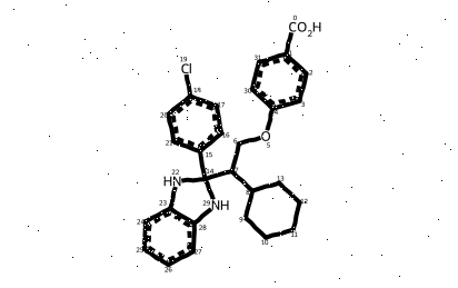 O=C(O)c1ccc(OCC(C2CCCCC2)C2(c3ccc(Cl)cc3)Nc3ccccc3N2)cc1